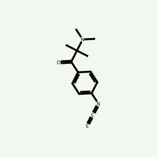 CN(C)C(C)(C)C(=O)c1ccc(N=C=S)cc1